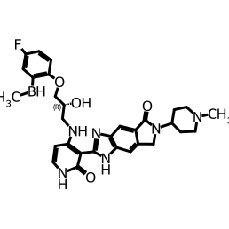 CBc1cc(F)ccc1OC[C@H](O)CNc1cc[nH]c(=O)c1-c1nc2cc3c(cc2[nH]1)CN(C1CCN(C)CC1)C3=O